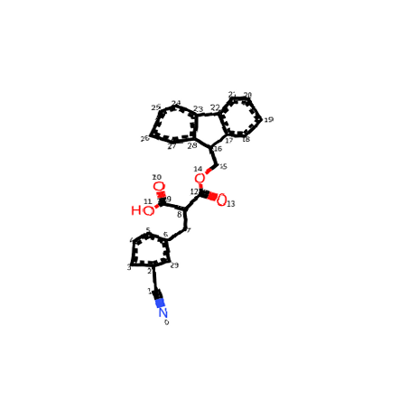 N#Cc1cccc(CC(C(=O)O)C(=O)OCC2c3ccccc3-c3ccccc32)c1